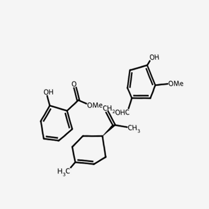 C=C(C)[C@H]1CC=C(C)CC1.COC(=O)c1ccccc1O.COc1cc(C=O)ccc1O